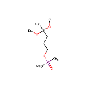 CCO[Si](C)(CCCOP(C)(=O)OC)OCC